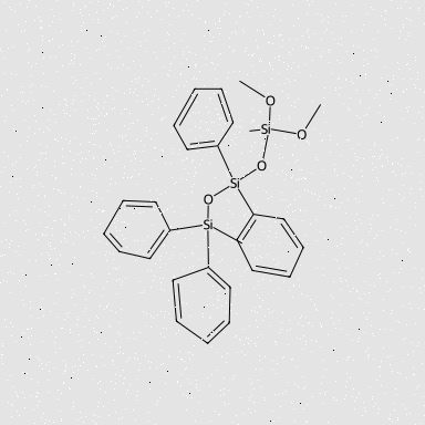 CO[Si](C)(OC)O[Si](O[Si](C)(c1ccccc1)c1ccccc1)(c1ccccc1)c1ccccc1